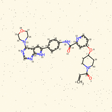 C=CC(=O)N1CCC(Oc2ccnc(C(=O)Nc3ccc(-c4cc5c(N6CCOCC6)ncnc5[nH]4)cc3)c2)CC1